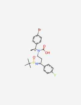 C[C@@H](c1ccc(Br)cc1)N(CCC(=N[S+]([O-])C(C)(C)C)c1ccc(F)cc1)C(=O)O